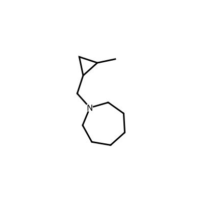 CC1CC1CN1CCCCCC1